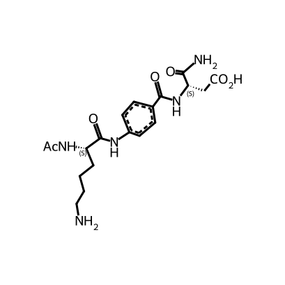 CC(=O)N[C@@H](CCCCN)C(=O)Nc1ccc(C(=O)N[C@@H](CC(=O)O)C(N)=O)cc1